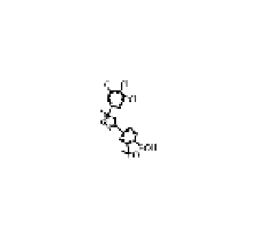 CC1(C)OB(O)c2ccc(C3=NO[C@](C)(c4cc(Cl)c(Cl)c(Cl)c4)C3)cc21